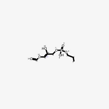 CCCOP(=O)(O)OC/C(O)=C/OC=O